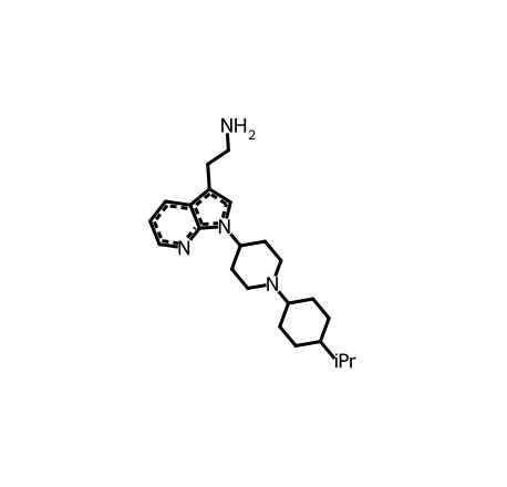 CC(C)C1CCC(N2CCC(n3cc(CCN)c4cccnc43)CC2)CC1